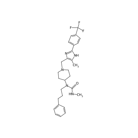 CNC(=O)N(CCCc1ccccc1)C1CCN(Cc2nc(-c3ccc(C(F)(F)F)cc3)[nH]c2C)CC1